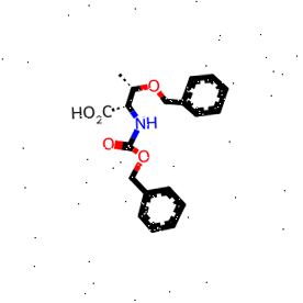 C[C@H](OCc1ccccc1)[C@H](NC(=O)OCc1ccccc1)C(=O)O